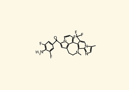 Cc1cnc2c3c(c(C(F)(F)F)cn12)-c1cccn2c(C(=O)c4cc(F)c(N)c(F)c4)cc(c12)CCN3C